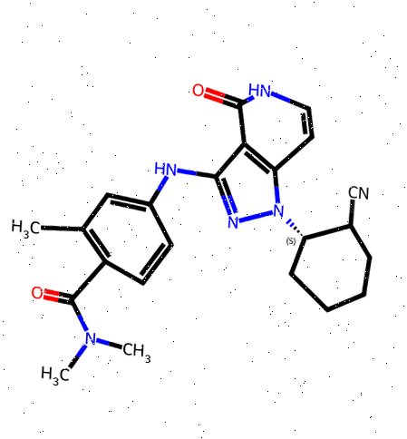 Cc1cc(Nc2nn([C@H]3CCCCC3C#N)c3cc[nH]c(=O)c23)ccc1C(=O)N(C)C